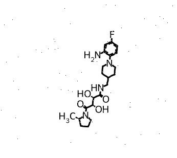 C[C@@H]1CCCN1C(=O)[C@H](O)[C@@H](O)C(=O)NCC1CCN(c2ccc(F)cc2N)CC1